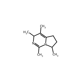 CC1=NC(C)C(C)=C2CCC(C)N12